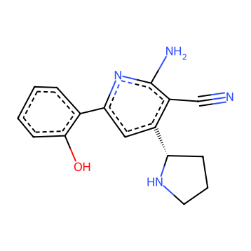 N#Cc1c([C@@H]2CCCN2)cc(-c2ccccc2O)nc1N